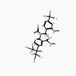 C=C(/C(=C\C(=C/C)C(F)(C(F)(F)F)C(F)(F)F)C(=O)OC)N(C(C)=O)C(=O)c1ccc(C(F)(F)F)cc1SC